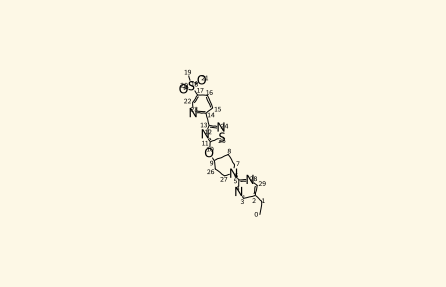 CCc1cnc(N2CCC(Oc3nc(-c4ccc(S(C)(=O)=O)cn4)ns3)CC2)nc1